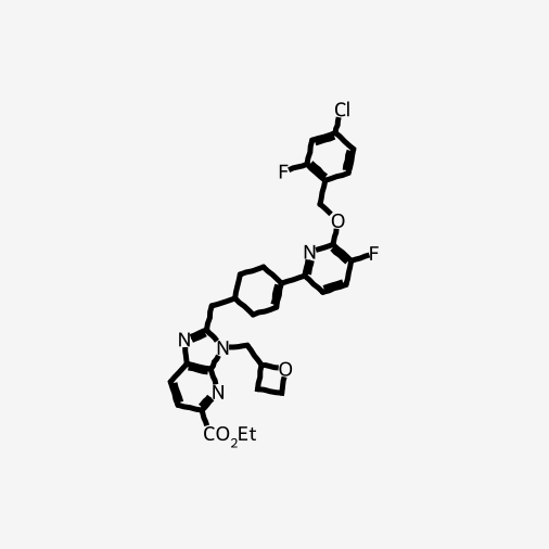 CCOC(=O)c1ccc2nc(CC3CC=C(c4ccc(F)c(OCc5ccc(Cl)cc5F)n4)CC3)n(CC3CCO3)c2n1